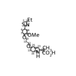 CCc1csc(-c2ccc(OCCCOc3ccc4[nH]c(C(C)C(=O)O)cc4c3)c(OC)c2)n1